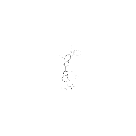 CC[C@@H]1[C@H](N)[C@H]2CC[C@@H]1N2C(=O)c1cc(OC)n2c(C)c(-c3cc4ccc(N(C(F)F)S(C)(=O)=O)nc4n3CC3CC3)nc2c1